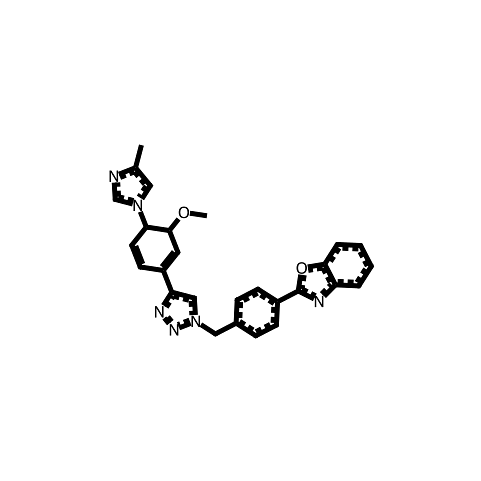 COC1C=C(c2cn(Cc3ccc(-c4nc5ccccc5o4)cc3)nn2)C=CC1n1cnc(C)c1